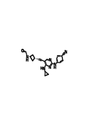 N#Cc1ccc(Nc2ncc(C#C[C@H]3C[C@@H](NC=O)C3)c(NC3CC3)n2)cc1